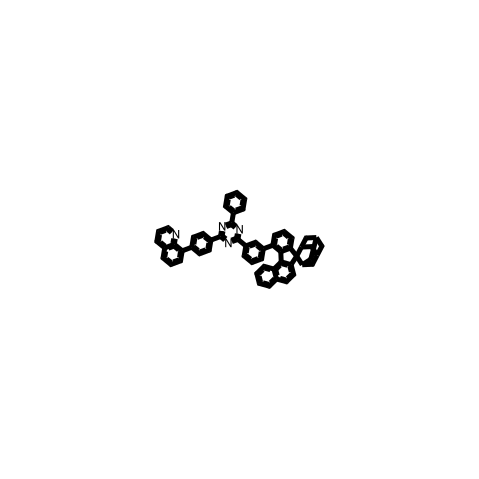 c1ccc(-c2nc(-c3ccc(-c4cccc5cccnc45)cc3)nc(-c3cccc(-c4cccc5c4-c4c(ccc6ccccc46)C54C5CC6CC(C5)CC4C6)c3)n2)cc1